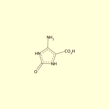 Nc1[nH]c(=O)[nH]c1C(=O)O